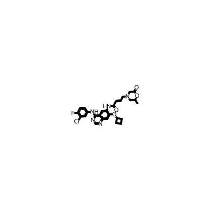 CC1CN(CC=CC(=O)Nc2cc3c(Nc4ccc(F)c(Cl)c4)ncnc3cc2OC2CCC2)CC(=O)O1